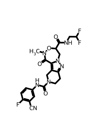 CN1OC(C(=O)NCC(F)F)Cn2nc3c(c2C1=O)CN(C(=O)Nc1ccc(F)c(C#N)c1)CC3